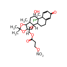 CC1(C)O[C@@H]2C[C@H]3C4CCC5=CC(=O)C=C[C@]5(C)[C@@]4(F)[C@@H](O)C[C@]3(C)[C@]2(C(=O)COC(=O)CCO[N+](=O)[O-])O1